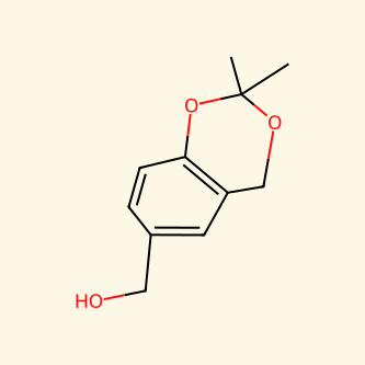 CC1(C)OCc2cc(CO)ccc2O1